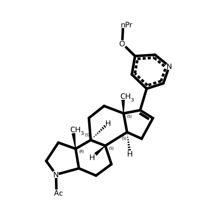 CCCOc1cncc(C2=CC[C@H]3[C@@H]4CCC5N(C(C)=O)CC[C@]5(C)[C@H]4CC[C@]23C)c1